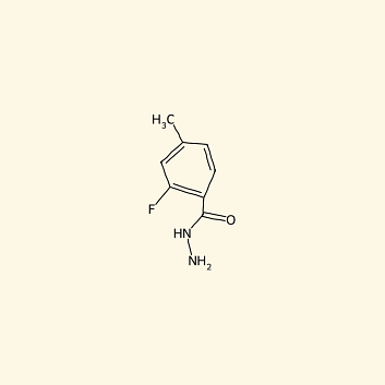 Cc1ccc(C(=O)NN)c(F)c1